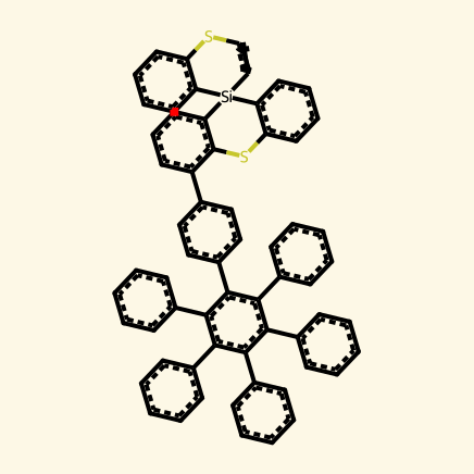 c1ccc(-c2c(-c3ccccc3)c(-c3ccccc3)c(-c3ccc(-c4cccc5c4Sc4ccccc4[Si]54c5ccccc5Sc5ccccc54)cc3)c(-c3ccccc3)c2-c2ccccc2)cc1